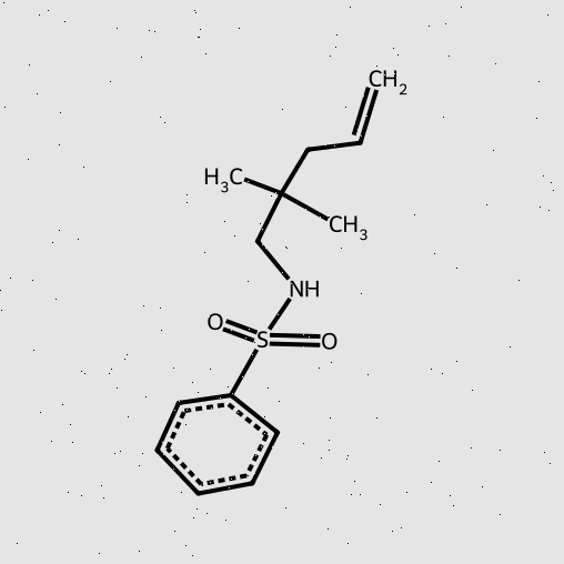 C=CCC(C)(C)CNS(=O)(=O)c1ccccc1